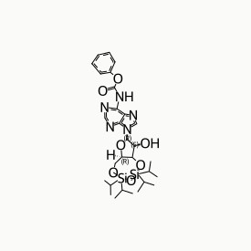 CC(C)[Si]1(C(C)C)OC[C@H]2O[C@@H](n3cnc4c(NC(=O)Oc5ccccc5)ncnc43)[C@@H](O)C2O[Si](C(C)C)(C(C)C)O1